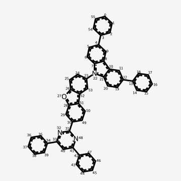 c1ccc(-c2ccc3c(c2)c2cc(-c4ccccc4)ccc2n3-c2ccc3oc4cc(-c5nc(-c6ccccc6)cc(-c6ccccc6)n5)ccc4c3c2)cc1